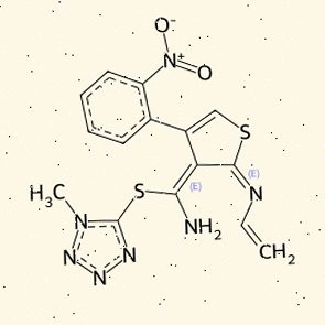 C=C/N=C1/SC=C(c2ccccc2[N+](=O)[O-])/C1=C(/N)Sc1nnnn1C